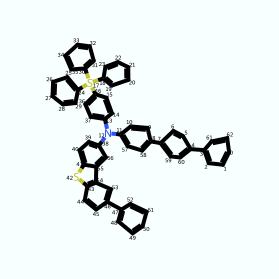 c1ccc(-c2ccc(-c3ccc(N(c4ccc(S(c5ccccc5)(c5ccccc5)c5ccccc5)cc4)c4ccc5sc6ccc(-c7ccccc7)cc6c5c4)cc3)cc2)cc1